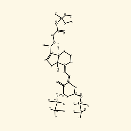 C=C1C(=CC=C2CCC[C@]3(C)C([C@@H](C)OCC(=O)OC(C)(CC)CC)=CC[C@@H]23)C[C@@H](O[Si](C)(C)C(C)(C)C)C[C@@H]1O[Si](C)(C)C(C)(C)C